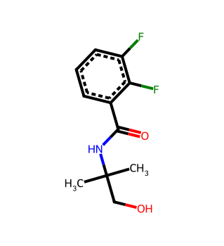 CC(C)(CO)NC(=O)c1cccc(F)c1F